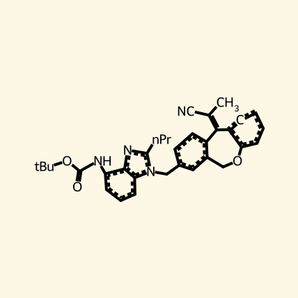 CCCc1nc2c(NC(=O)OC(C)(C)C)cccc2n1Cc1ccc2c(c1)COc1ccccc1/C2=C(\C)C#N